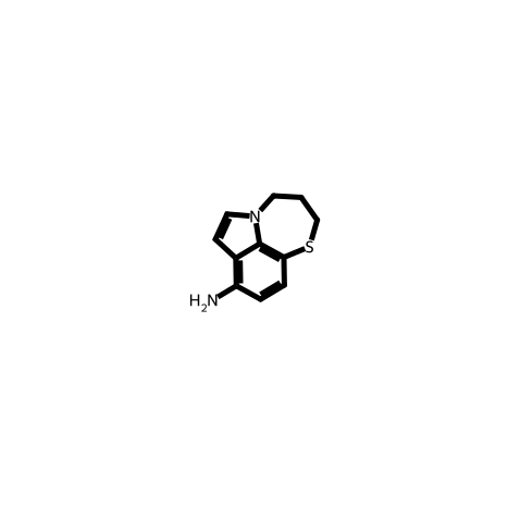 Nc1ccc2c3c1ccn3CCCS2